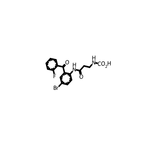 O=C(O)NCCC(=O)Nc1ccc(Br)cc1C(=O)c1ccccc1F